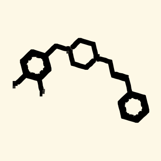 Fc1ccc(CN2CCN(C/C=C/c3ccccc3)CC2)cc1F